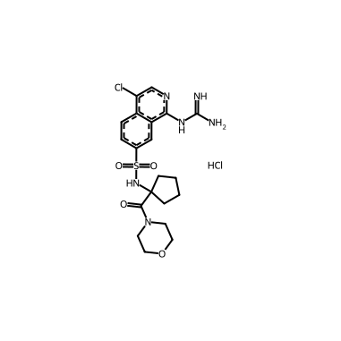 Cl.N=C(N)Nc1ncc(Cl)c2ccc(S(=O)(=O)NC3(C(=O)N4CCOCC4)CCCC3)cc12